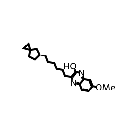 COc1ccc2nc(CCCCCC[C@H]3CCC4(CC4)C3)c(O)nc2c1